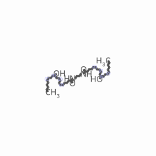 CCCCC/C=C\C/C=C(/O)C/C=C\C/C=C\CCCC(=O)NCCCCNC(=O)CCC/C=C\C/C=C\C/C(O)=C\C/C=C\CCCCC